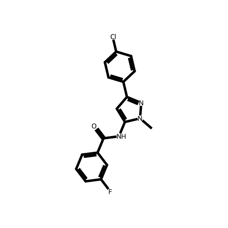 Cn1nc(-c2ccc(Cl)cc2)cc1NC(=O)c1cccc(F)c1